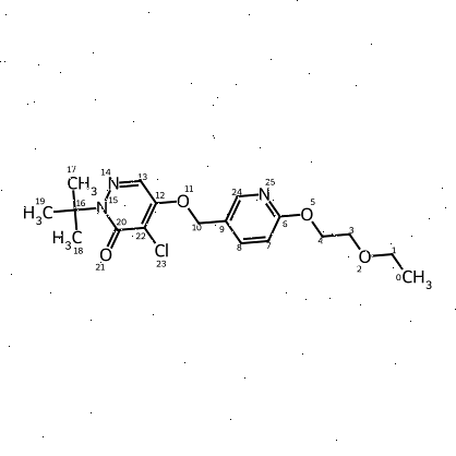 CCOCCOc1ccc(COc2cnn(C(C)(C)C)c(=O)c2Cl)cn1